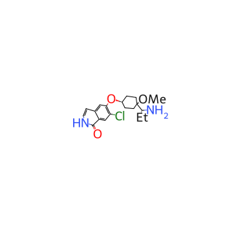 CC[C@@H](N)[C@]1(OC)CC[C@@H](Oc2cc3cc[nH]c(=O)c3cc2Cl)CC1